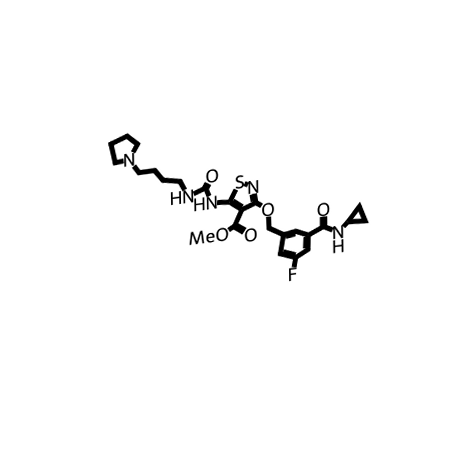 COC(=O)c1c(OCc2cc(F)cc(C(=O)NC3CC3)c2)nsc1NC(=O)NCCCCN1CCCC1